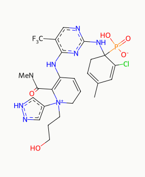 CNC(=O)C1=C(Nc2nc(NC3(P(=O)([O-])O)CC=C(C)C=C3Cl)ncc2C(F)(F)F)C=CC[N+]1(CCCO)c1cn[nH]c1